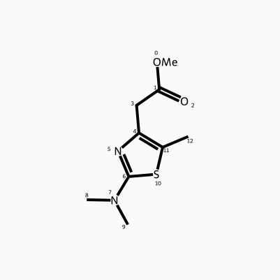 COC(=O)Cc1nc(N(C)C)sc1C